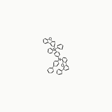 c1ccc(-c2ccc(N(c3ccc([Si](c4ccccc4)(c4ccccc4)c4ccc5oc6ccccc6c5c4)cc3)c3cccc4c3oc3c(-c5ccccc5)cccc34)cc2)cc1